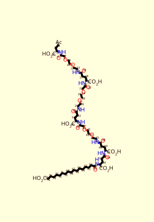 CC(=O)CC[C@H](NC(=O)COCCOCCNC(=O)CC[C@H](NC(=O)COCCOCCNC(=O)CC[C@H](NC(=O)COCCOCCNC(=O)CC[C@H](NC(=O)CC[C@H](NC(=O)CCCCCCCCCCCCCCCCC(=O)O)C(=O)O)C(=O)O)C(=O)O)C(=O)O)C(=O)O